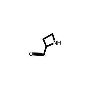 O=[C]C1CCN1